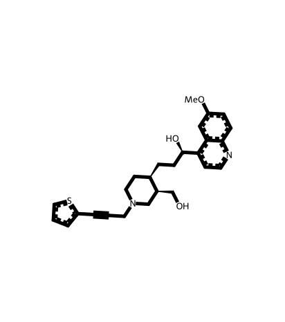 COc1ccc2nccc([C@H](O)CC[C@@H]3CCN(CC#Cc4cccs4)C[C@@H]3CO)c2c1